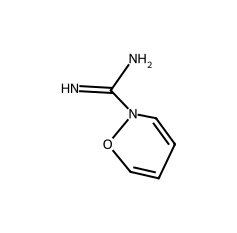 N=C(N)N1C=CC=CO1